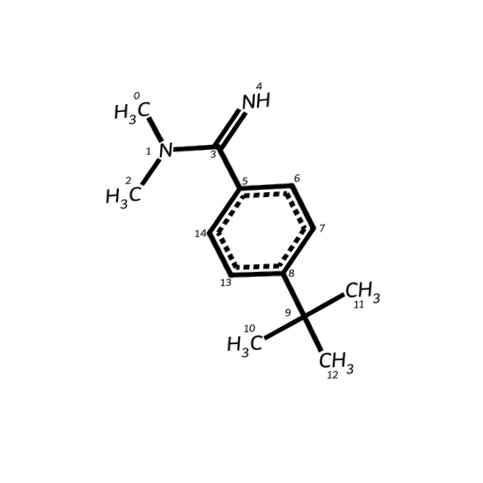 CN(C)C(=N)c1ccc(C(C)(C)C)cc1